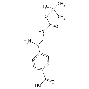 CC(C)(C)OC(=O)NCC(N)c1ccc(C(=O)O)cc1